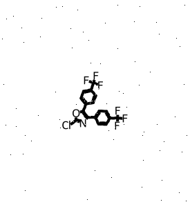 FC(F)(F)c1ccc(-c2nc(Cl)oc2-c2ccc(C(F)(F)F)cc2)cc1